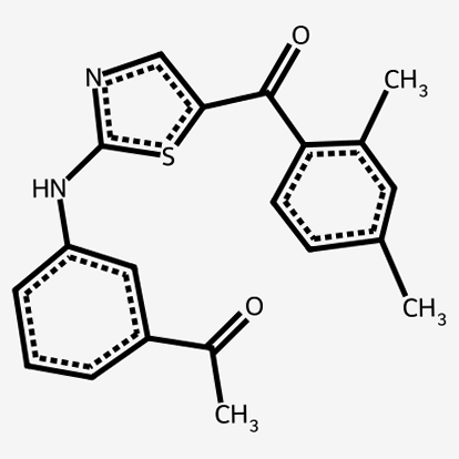 CC(=O)c1cccc(Nc2ncc(C(=O)c3ccc(C)cc3C)s2)c1